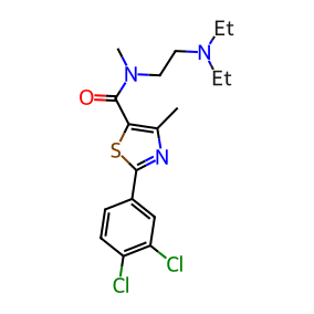 CCN(CC)CCN(C)C(=O)c1sc(-c2ccc(Cl)c(Cl)c2)nc1C